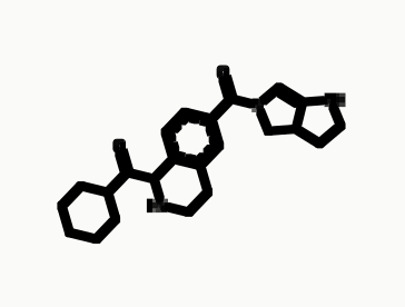 O=C(C1CCCCC1)C1NCCc2cc(C(=O)N3C=C4NCCC4C3)ccc21